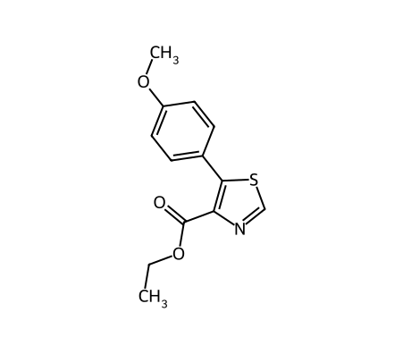 CCOC(=O)c1ncsc1-c1ccc(OC)cc1